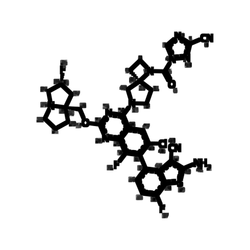 N#Cc1ncn(C(=O)N2CC[C@@]23CCN(c2nc(OC[C@@]45CCCN4C[C@H](F)C5)nc4c(F)c(-c5ccc(F)c6sc(N)c(C#N)c56)c(Cl)cc24)C3)n1